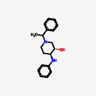 CC(c1ccccc1)N1CC[C@H](Nc2ccccc2)[C@@H](O)C1